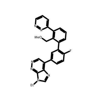 CCn1cnc2c(-c3ccc(F)c(-c4cccc(-c5cccnn5)c4COC)c3)cnnc21